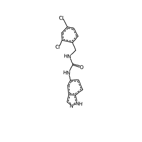 O=C(NCc1ccc(Cl)cc1Cl)Nc1ccc2[nH]ncc2c1